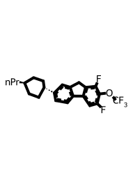 CCC[C@H]1CC[C@H](c2ccc3c(c2)Cc2c-3cc(F)c(OC(F)(F)F)c2F)CC1